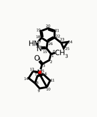 CC(CC(=O)N1C2CC3CC(C2)CC1C3)c1n[nH]c2cccc(C3CC3)c12